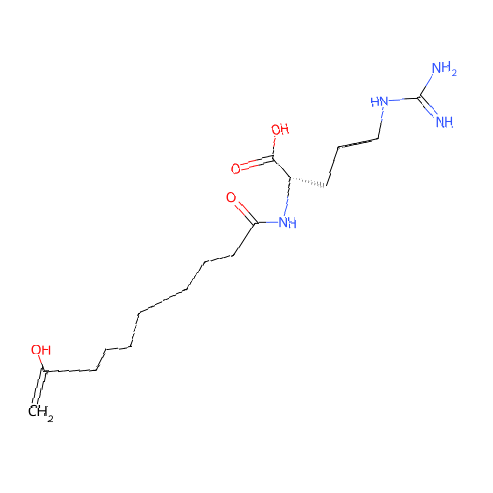 C=C(O)CCCCCCCC(=O)N[C@@H](CCCNC(=N)N)C(=O)O